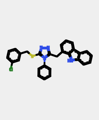 Clc1cccc(CSc2nnc(Cc3cccc4c3[nH]c3ccccc34)n2-c2ccccc2)c1